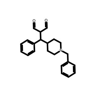 O=CC(C=O)C(c1ccccc1)C1CCN(Cc2ccccc2)CC1